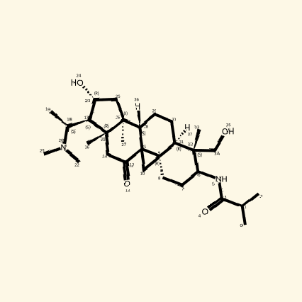 CC(C)C(=O)NC1CC[C@]23CC24C(=O)C[C@]2(C)[C@@H]([C@H](C)N(C)C)[C@H](O)C[C@@]2(C)[C@@H]4CC[C@H]3[C@]1(C)CO